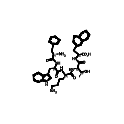 C[C@@H](O)[C@H](NC(=O)[C@H](CCCCN)NC(=O)[C@@H](Cc1c[nH]c2ccccc12)NC(=O)[C@@H](N)Cc1ccccc1)C(=O)N[C@@H](Cc1ccc2ccccc2c1)C(=O)O